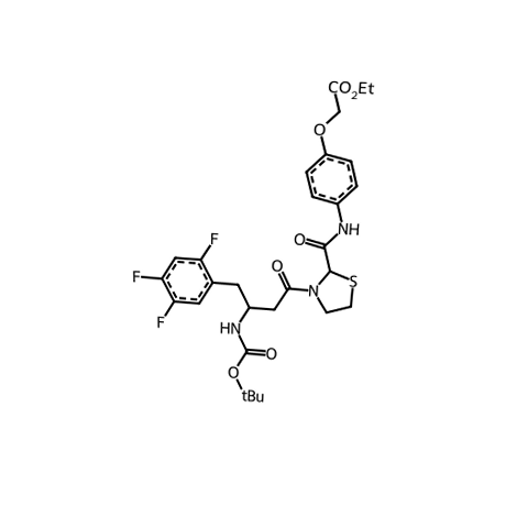 CCOC(=O)COc1ccc(NC(=O)C2SCCN2C(=O)CC(Cc2cc(F)c(F)cc2F)NC(=O)OC(C)(C)C)cc1